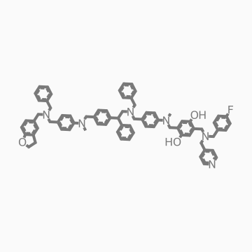 CN(Cc1ccc(C(CN(Cc2ccccc2)Cc2ccc(N(C)Cc3cc(O)c(CN(Cc4ccncc4)Cc4ccc(F)cc4)cc3O)cc2)c2ccccc2)cc1)c1ccc(CN(Cc2ccccc2)Cc2ccc3c(c2)CCO3)cc1